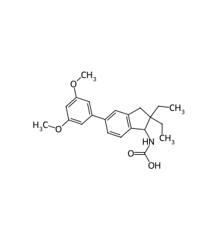 CCC1(CC)Cc2cc(-c3cc(OC)cc(OC)c3)ccc2C1NC(=O)O